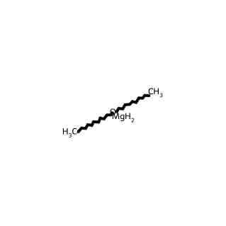 CCCCCCCCCCCCOCCCCCCCCCCCC.[MgH2]